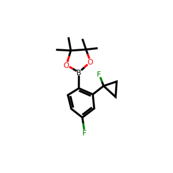 CC1(C)OB(c2ccc(F)cc2C2(F)CC2)OC1(C)C